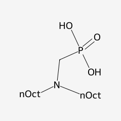 CCCCCCCCN(CCCCCCCC)CP(=O)(O)O